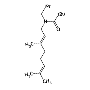 CC(C)=CCC/C(C)=C/CN(CC(C)C)C(=O)C(C)(C)C